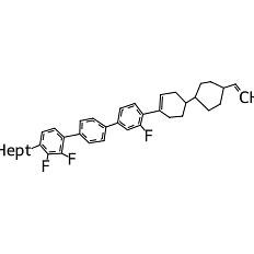 C=CC1CCC(C2CC=C(c3ccc(-c4ccc(-c5ccc(CCCCCCC)c(F)c5F)cc4)cc3F)CC2)CC1